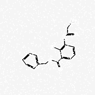 NCC(=O)Oc1cccc(C(=O)OCc2ccccc2)c1Cl